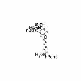 CCCCCN(C)CCCCCCO[C@H]1CC[C@H](N(C)S(=O)(=O)NCCCC)CC1